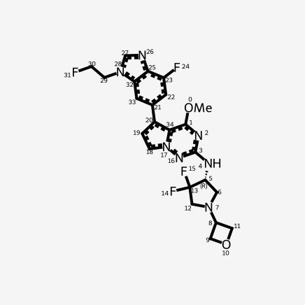 COc1nc(N[C@@H]2CN(C3COC3)CC2(F)F)nn2ccc(-c3cc(F)c4ncn(CCF)c4c3)c12